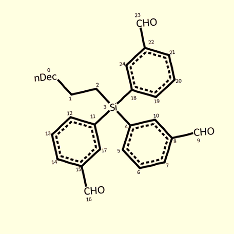 CCCCCCCCCCCC[Si](c1cccc(C=O)c1)(c1cccc(C=O)c1)c1cccc(C=O)c1